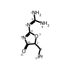 CC(C)CC1OC(N=C(N)N)=NC1=O